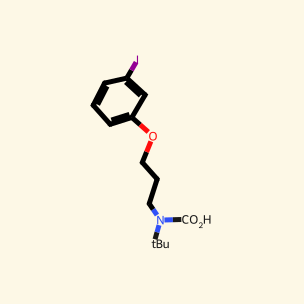 CC(C)(C)N(CCCOc1cccc(I)c1)C(=O)O